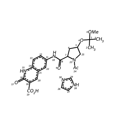 COC(C)(C)OC1CC(C(=O)Nc2ccc3[nH]c(=O)c(C(=O)O)cc3c2)N(C(C)=O)C1.c1c[nH]cn1